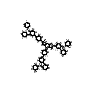 c1ccc(-n2c3ccccc3c3cc(-c4ccc(-c5cc6c(s5)c5sc(-c7ccc8c(c7)c7ccccc7n8-c7ccccc7)cc5n6-c5ccc(-c6ccc7c(c6)c6ccccc6n7-c6ccccc6)cc5)cc4)ccc32)cc1